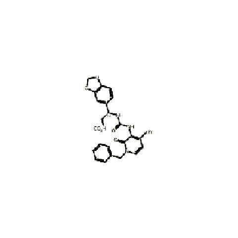 CCCc1ccn(Cc2ccccc2)c(=O)c1NC(=O)N[C@@H](CC(=O)O)c1ccc2c(c1)OCO2